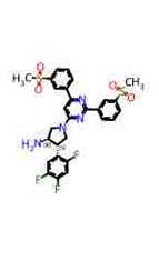 CS(=O)(=O)c1cccc(-c2cc(N3C[C@H](c4cc(F)c(F)cc4F)[C@@H](N)C3)nc(-c3cccc(S(C)(=O)=O)c3)n2)c1